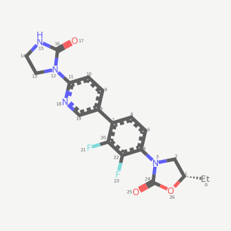 CC[C@H]1CN(c2ccc(-c3ccc(N4CCNC4=O)nc3)c(F)c2F)C(=O)O1